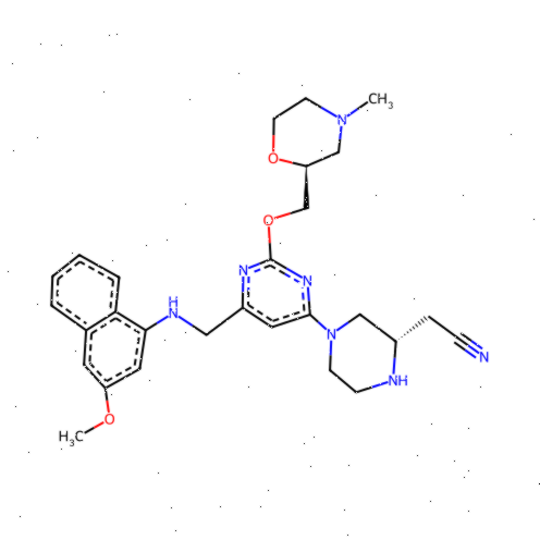 COc1cc(NCc2cc(N3CCN[C@@H](CC#N)C3)nc(OC[C@@H]3CN(C)CCO3)n2)c2ccccc2c1